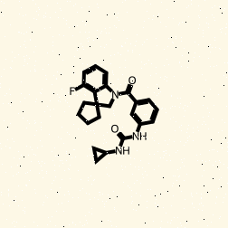 O=C(Nc1cccc(C(=O)N2CC3(CCCC3)c3c(F)cccc32)c1)NC1CC1